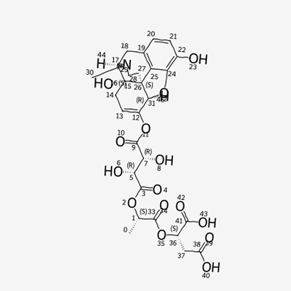 C[C@H](OC(=O)[C@H](O)[C@@H](O)C(=O)OC1=CC[C@@]2(O)[C@H]3Cc4ccc(O)c5c4[C@@]2(CCN3C)[C@H]1O5)C(=O)O[C@@H](CC(=O)O)C(=O)O